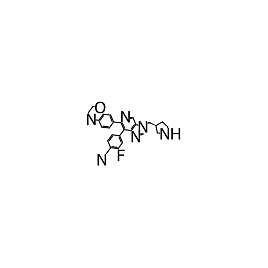 CN1CCOc2cc(-c3ncc4c(ncn4C[C@H]4CCNC4)c3-c3ccc(C#N)c(F)c3)ccc21